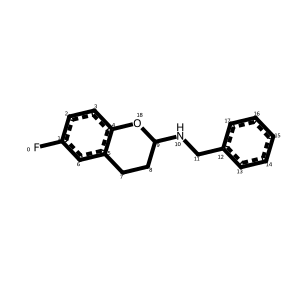 Fc1ccc2c(c1)CC[C](NCc1ccccc1)O2